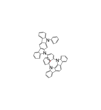 c1ccc(-n2c3ccccc3c3cc4c5ccccc5n(-c5ccc(-n6c7ccccc7c7ccc8c9ccccc9n(-c9ccccc9)c8c76)cc5)c4cc32)cc1